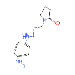 Nc1ccc(NCCCN2CCCC2=O)cc1